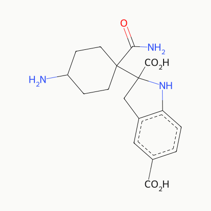 NC(=O)C1(C2(C(=O)O)Cc3cc(C(=O)O)ccc3N2)CCC(N)CC1